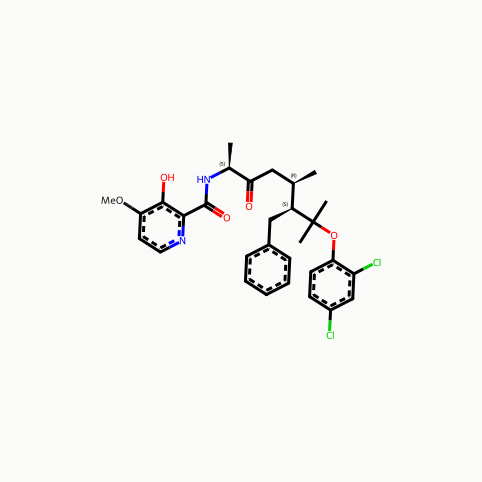 COc1ccnc(C(=O)N[C@@H](C)C(=O)C[C@@H](C)[C@H](Cc2ccccc2)C(C)(C)Oc2ccc(Cl)cc2Cl)c1O